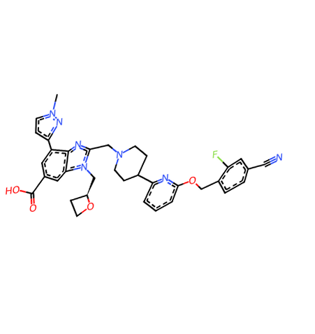 Cn1ccc(-c2cc(C(=O)O)cc3c2nc(CN2CCC(c4cccc(OCc5ccc(C#N)cc5F)n4)CC2)n3C[C@@H]2CCO2)n1